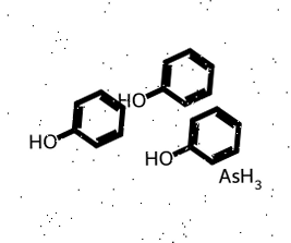 Oc1ccccc1.Oc1ccccc1.Oc1ccccc1.[AsH3]